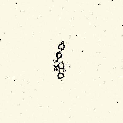 Cc1nn([C@H]2CC[C@@H](C)CC2)c(C(N)=O)c1NC(=O)c1ccc(N2CCN(C)CC2)cc1